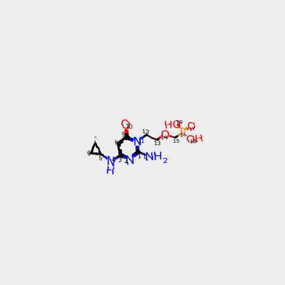 Nc1nc(NC2CC2)cc(=O)n1CCOCP(=O)(O)O